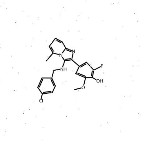 COc1cc(-c2nc3cccc(C)n3c2NCc2ccc(Cl)cc2)cc(F)c1O